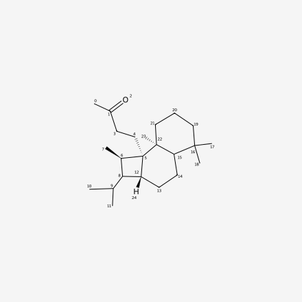 CC(=O)CC[C@@]12[C@H](C)C(C(C)C)[C@H]1CCC1C(C)(C)CCC[C@@]12C